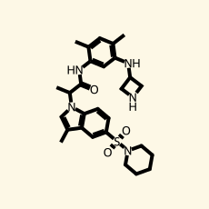 Cc1cc(C)c(NC2CNC2)cc1NC(=O)C(C)n1cc(C)c2cc(S(=O)(=O)N3CCCCC3)ccc21